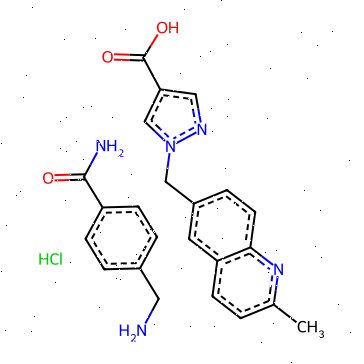 Cc1ccc2cc(Cn3cc(C(=O)O)cn3)ccc2n1.Cl.NCc1ccc(C(N)=O)cc1